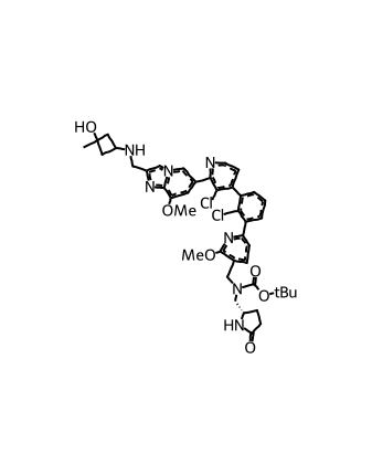 COc1nc(-c2cccc(-c3ccnc(-c4cc(OC)c5nc(CNC6CC(C)(O)C6)cn5c4)c3Cl)c2Cl)ccc1CN(C[C@@H]1CCC(=O)N1)C(=O)OC(C)(C)C